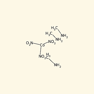 CN.CN.CN.O=[N+]([O-])[Co]([N+](=O)[O-])[N+](=O)[O-]